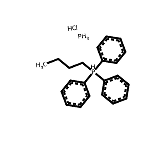 CCCC[PH](c1ccccc1)(c1ccccc1)c1ccccc1.Cl.P